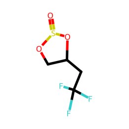 O=S1OCC(CC(F)(F)F)O1